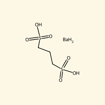 O=S(=O)(O)CCCS(=O)(=O)O.[BaH2]